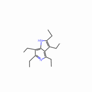 [CH2]Cc1c(CC)[nH]c2c(CC)c(CC)nc(CC)c12